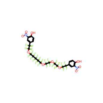 O=[N+]([O-])c1cc(C(F)(F)C(F)(F)OC(F)(F)C(F)(F)OC(F)(F)C(F)(F)OC(F)(F)C(F)(F)C(F)(F)C(F)(F)C(F)(F)OC(F)(F)C(F)(F)c2ccc(O)c([N+](=O)[O-])c2)ccc1O